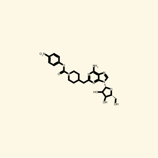 Nc1nc(CC2CCN(C(=O)Oc3ccc([N+](=O)[O-])cc3)CC2)nc2c1ncn2[C@@H]1O[C@H](CO)C(O)C1O